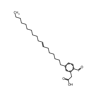 CCCCCCCCCCC=CCCCCCCc1ccc(I=O)c(CC(=O)O)c1